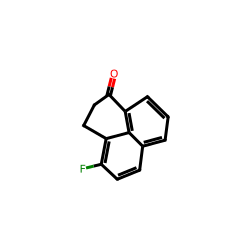 O=C1CCc2c(F)ccc3cccc1c23